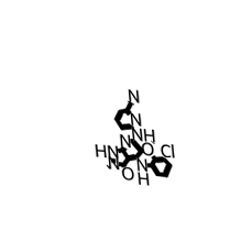 COc1c(Cl)cccc1Nc1cc(Nc2cccc(C#N)n2)nc2[nH]n(C)c(=O)c12